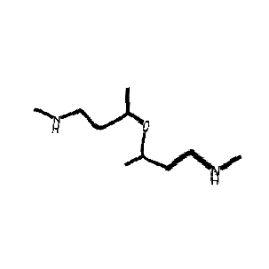 CNCCC(C)OC(C)CCNC